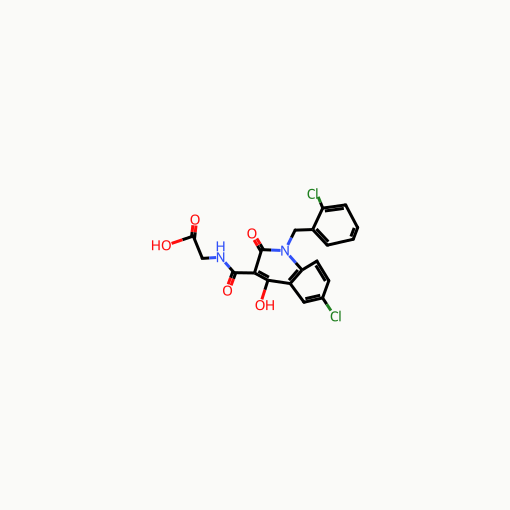 O=C(O)CNC(=O)c1c(O)c2cc(Cl)ccc2n(Cc2ccccc2Cl)c1=O